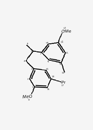 COc1cc(CC(C)c2cc(C)cc(OC)c2)cc(C(C)C)c1